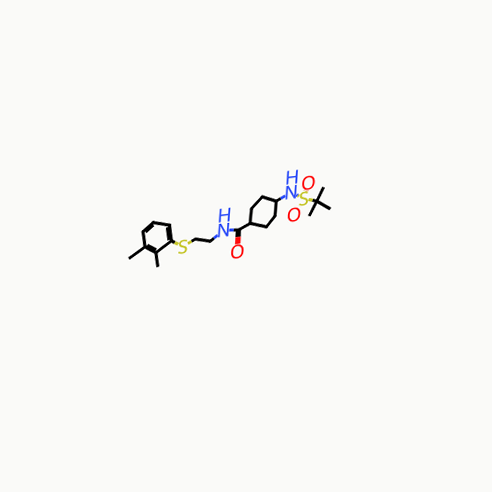 Cc1cccc(SCCNC(=O)C2CCC(NS(=O)(=O)C(C)(C)C)CC2)c1C